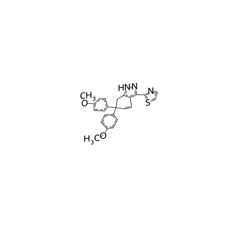 COc1ccc(C2(c3ccc(OC)cc3)C=Cc3c(-c4nccs4)n[nH]c3C2)cc1